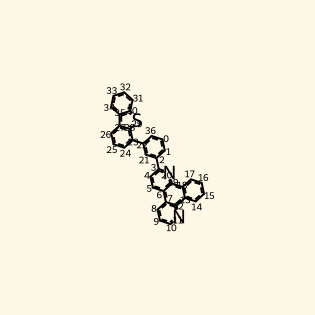 c1cc(-c2ccc3c4cccnc4c4ccccc4c3n2)cc(-c2cccc3c2sc2ccccc23)c1